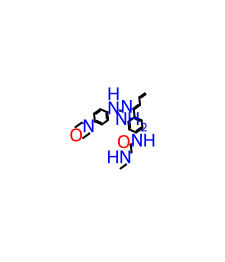 C=C/C=C(\N=C(/N)Nc1ccc(N2CCOCC2)cc1)c1ccc(NC(=O)CNCC)cc1